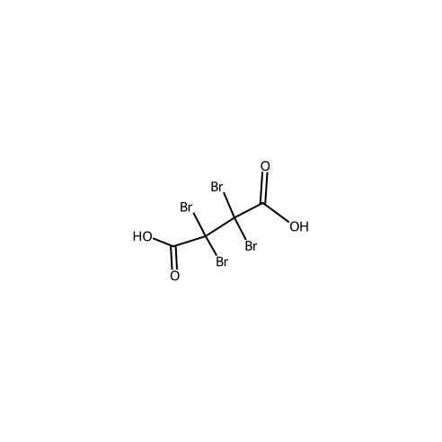 O=C(O)C(Br)(Br)C(Br)(Br)C(=O)O